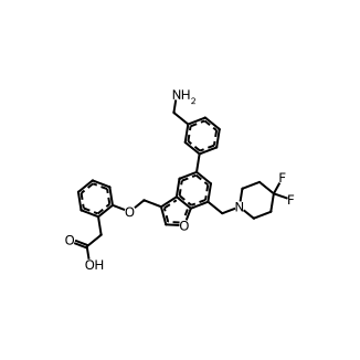 NCc1cccc(-c2cc(CN3CCC(F)(F)CC3)c3occ(COc4ccccc4CC(=O)O)c3c2)c1